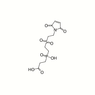 O=C(O)CCP(=O)(O)CCS(=O)(=O)CCN1C(=O)C=CC1=O